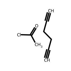 C#CCCC#C.CC(=O)Cl